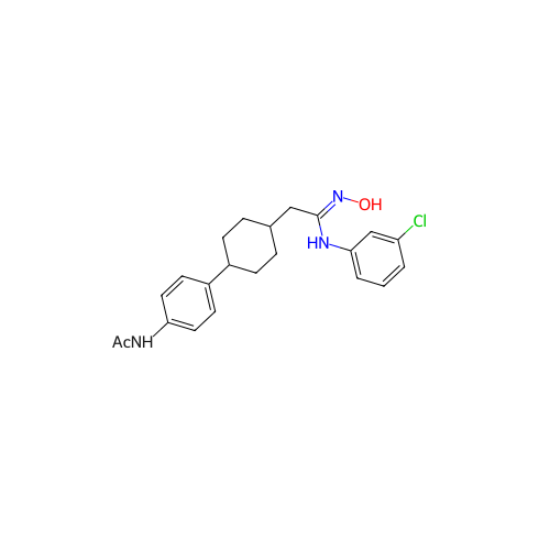 CC(=O)Nc1ccc(C2CCC(C/C(=N/O)Nc3cccc(Cl)c3)CC2)cc1